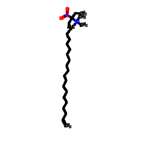 C=CCCCCCCCCCCCCCCCCCCC(CC)(P(=O)=O)[N+](C)(C)C